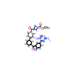 CC(C)(C)OC(=O)N1CC(C(=O)N2CCC(c3cccc(-c4onc5ccc(/C(=N/N)NN)cc45)c3)CC2)C1